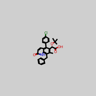 Cc1c([C@H](OC(C)(C)C)C(=O)O)c(-c2ccc(Cl)cc2)c2ccc(=O)[nH]c2c1Cc1ccccc1